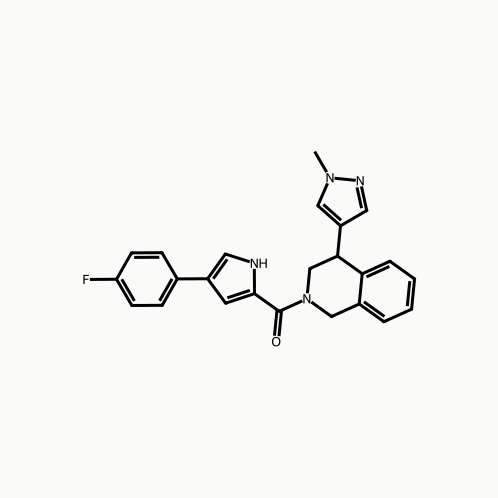 Cn1cc(C2CN(C(=O)c3cc(-c4ccc(F)cc4)c[nH]3)Cc3ccccc32)cn1